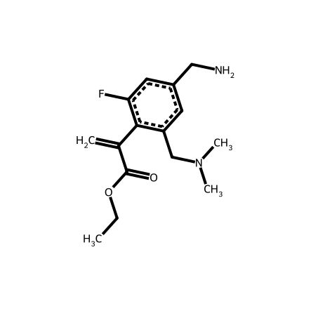 C=C(C(=O)OCC)c1c(F)cc(CN)cc1CN(C)C